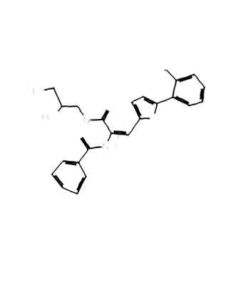 O=C(NCC(O)CO)/C(=C\c1ccc(-c2ccccc2Cl)s1)NC(=O)c1ccccc1